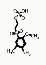 COc1cc(N)c(C)cc1S(=O)(=O)CCOS(=O)(=O)O